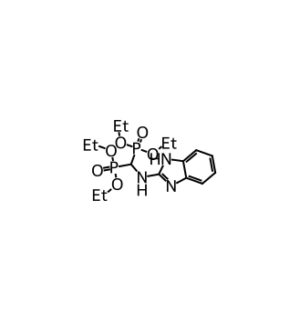 CCOP(=O)(OCC)C(Nc1nc2ccccc2[nH]1)P(=O)(OCC)OCC